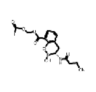 N#CCCC(=O)N[C@H]1Cc2cccc(C(=O)OCOC(=O)I)c2OB1O